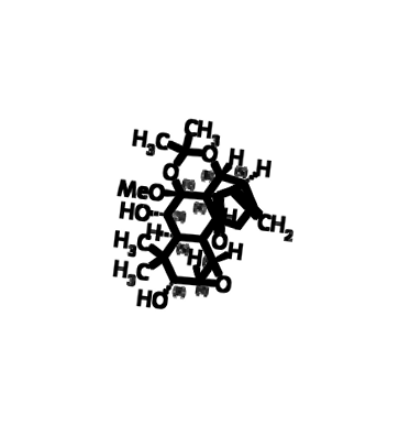 C=C1C(=O)[C@@]23[C@@H]4OC(C)(C)O[C@@]2(OC)[C@@H](O)[C@H]2C([C@@H]5O[C@@H]5[C@H](O)C2(C)C)[C@@H]3CC[C@@H]14